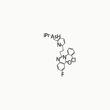 CC(C)[AsH]Cc1cccc(CCc2nc3ccc(F)cc3c(=O)n2-c2ccccc2Cl)n1